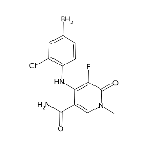 Bc1ccc(Nc2c(C(N)=O)cn(C)c(=O)c2F)c(Cl)c1